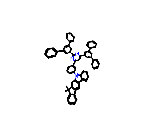 CC1(C)c2ccccc2-c2cc3c4ccccc4n(-c4cccc(-c5cc(-c6cc(-c7ccccc7)cc(-c7ccccc7)c6)nc(-c6cc(-c7ccccc7)cc(-c7ccccc7)c6)n5)c4)c3cc21